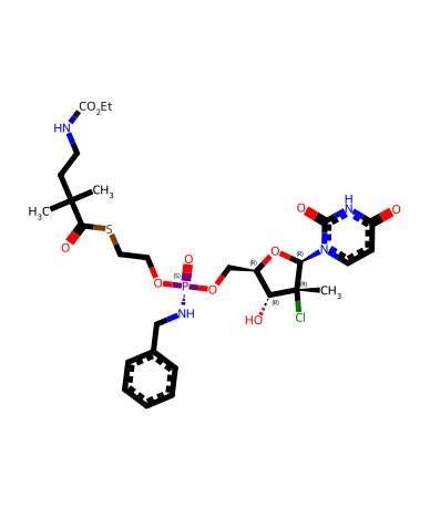 CCOC(=O)NCCC(C)(C)C(=O)SCCO[P@](=O)(NCc1ccccc1)OC[C@H]1O[C@@H](n2ccc(=O)[nH]c2=O)[C@](C)(Cl)[C@@H]1O